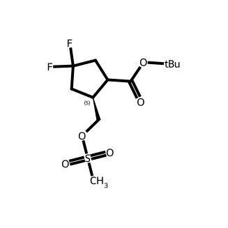 CC(C)(C)OC(=O)C1CC(F)(F)C[C@@H]1COS(C)(=O)=O